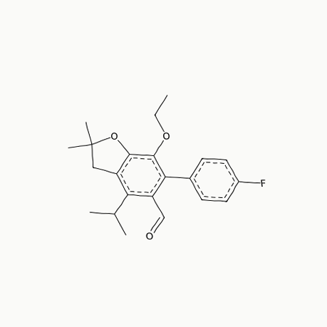 CCOc1c2c(c(C(C)C)c(C=O)c1-c1ccc(F)cc1)CC(C)(C)O2